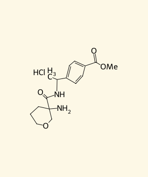 COC(=O)c1ccc(C(C)NC(=O)C2(N)CCCOC2)cc1.Cl